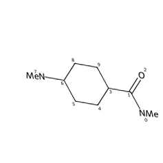 CNC(=O)C1CCC(NC)CC1